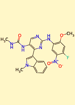 CNC(=O)Nc1cnc(Nc2cc([N+](=O)[O-])c(F)cc2OC)nc1-c1cn(C)c2ccccc12